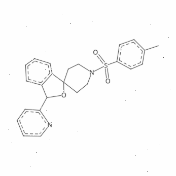 Cc1ccc(S(=O)(=O)N2CCC3(CC2)OC(c2ccccn2)c2ccccc23)cc1